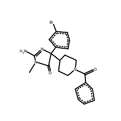 CN1C(=O)C(c2cccc(Br)c2)(C2CCN(C(=O)c3ccccc3)CC2)N=C1N